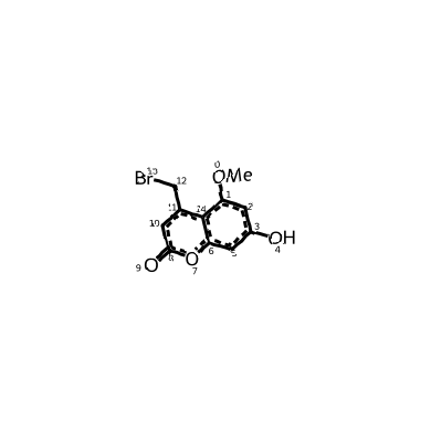 COc1cc(O)cc2oc(=O)cc(CBr)c12